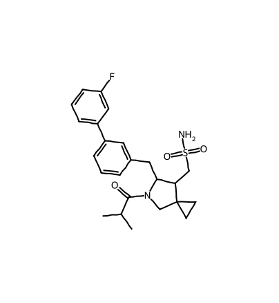 CC(C)C(=O)N1CC2(CC2)C(CS(N)(=O)=O)C1Cc1cccc(-c2cccc(F)c2)c1